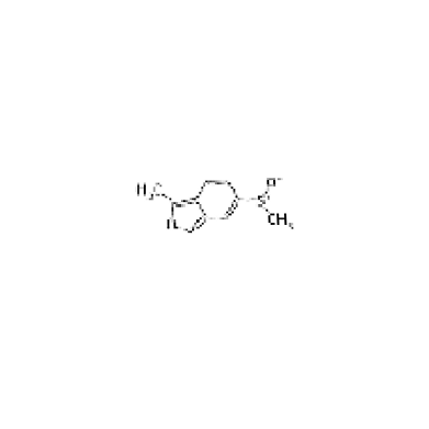 [CH2]c1occ2cc([S+](C)[O-])ccc12